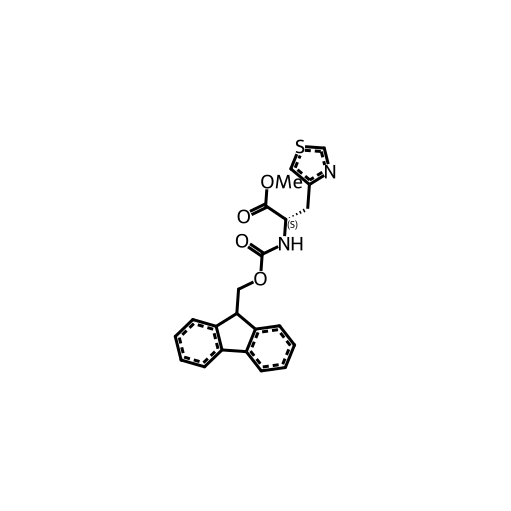 COC(=O)[C@H](Cc1cscn1)NC(=O)OCC1c2ccccc2-c2ccccc21